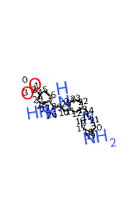 COC(=O)c1ccc2c(-c3cc4cc(CN5CCC(N)CC5)ccc4[nH]3)n[nH]c2c1